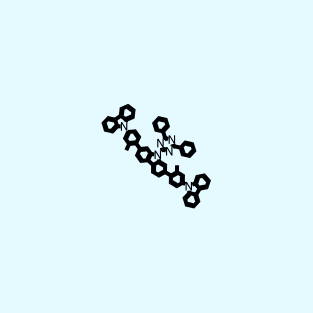 Cc1cc(-n2c3ccccc3c3ccccc32)ccc1-c1ccc2c3ccc(-c4ccc(-n5c6ccccc6c6ccccc65)cc4C)cc3n(-c3nc(-c4ccccc4)nc(-c4ccccc4)n3)c2c1